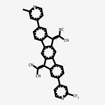 [C-]#[N+]/C(C#N)=C1/c2cc(-c3ccnc(C(F)(F)F)c3)ccc2-c2cc3c(cc21)-c1ccc(-c2ccnc(C)c2)cc1/C3=C(/C#N)[N+]#[C-]